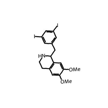 COc1cc2c(cc1OC)C(Cc1cc(I)cc(I)c1)NCC2